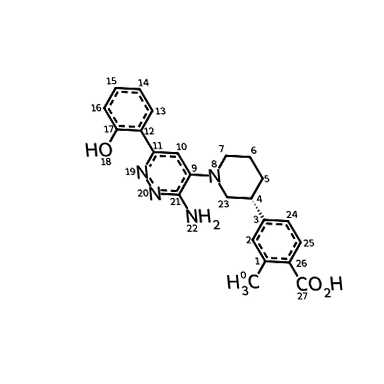 Cc1cc([C@H]2CCCN(c3cc(-c4ccccc4O)nnc3N)C2)ccc1C(=O)O